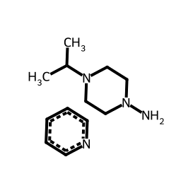 CC(C)N1CCN(N)CC1.c1ccncc1